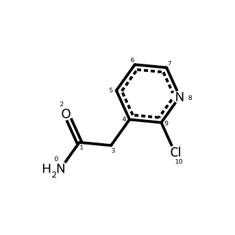 NC(=O)Cc1cccnc1Cl